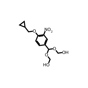 O=[N+]([O-])c1cc(C(OCO)OCO)ccc1OCC1CC1